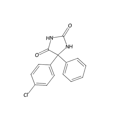 O=C1NC(=O)C(c2ccccc2)(c2ccc(Cl)cc2)N1